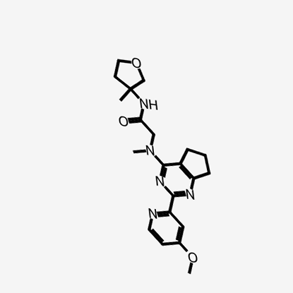 COc1ccnc(-c2nc3c(c(N(C)CC(=O)NC4(C)CCOC4)n2)CCC3)c1